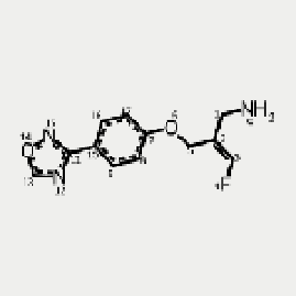 NC/C(=C/F)COc1ccc(-c2ncon2)cc1